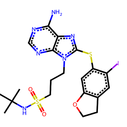 CC(C)(C)NS(=O)(=O)CCCn1c(Sc2cc3c(cc2I)CCO3)nc2c(N)ncnc21